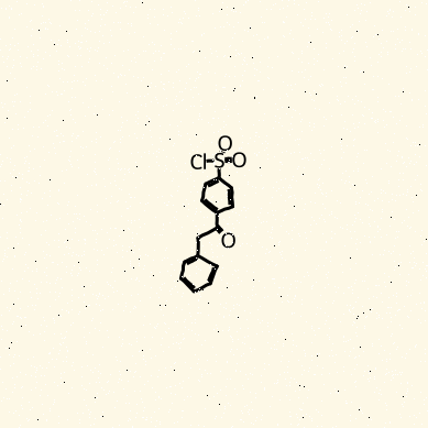 O=C(Cc1ccccc1)c1ccc(S(=O)(=O)Cl)cc1